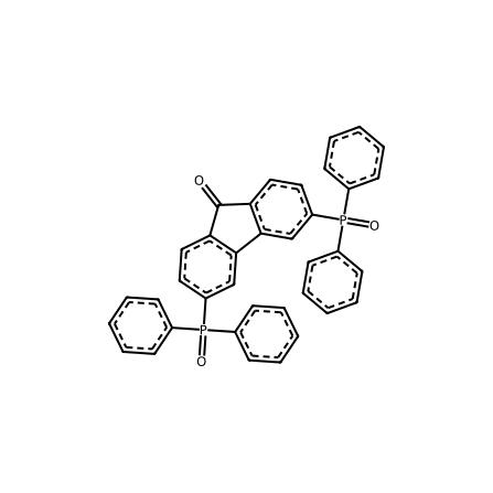 O=C1c2ccc(P(=O)(c3ccccc3)c3ccccc3)cc2-c2cc(P(=O)(c3ccccc3)c3ccccc3)ccc21